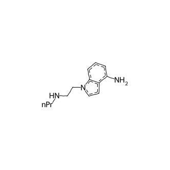 CCCNCCn1ccc2c(N)cccc21